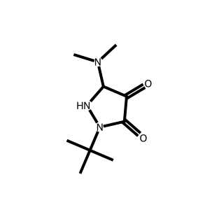 CN(C)C1NN(C(C)(C)C)C(=O)C1=O